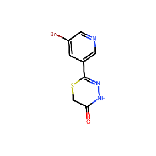 O=C1CSC(c2cncc(Br)c2)=NN1